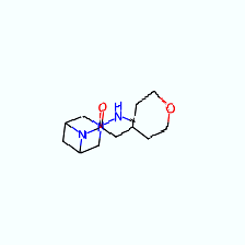 CNN1CC2CC(C1)N2C(=O)CC1CCOCC1